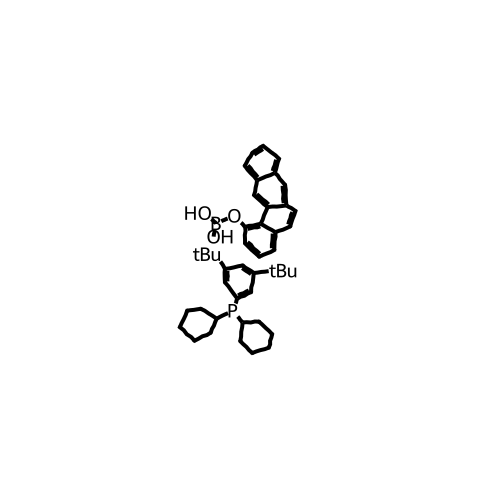 CC(C)(C)c1cc(P(C2CCCCC2)C2CCCCC2)cc(C(C)(C)C)c1.OB(O)Oc1cccc2ccc3cc4ccccc4cc3c12